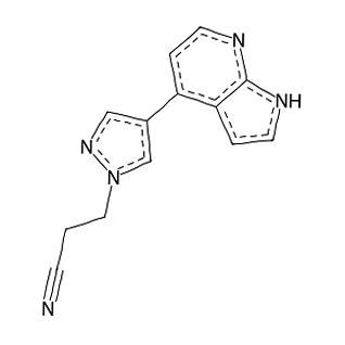 N#CCCn1cc(-c2ccnc3[nH]ccc23)cn1